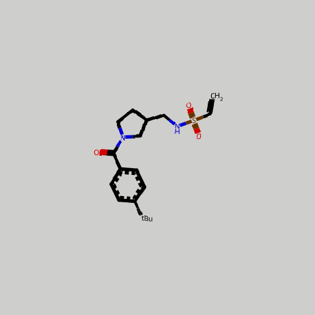 C=CS(=O)(=O)NCC1CCN(C(=O)c2ccc(C(C)(C)C)cc2)C1